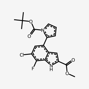 COC(=O)c1cc2c(-c3cccn3C(=O)OC(C)(C)C)cc(Cl)c(F)c2[nH]1